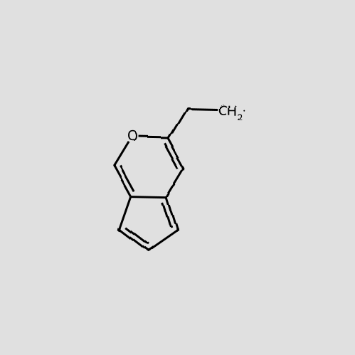 [CH2]Cc1cc2cccc-2co1